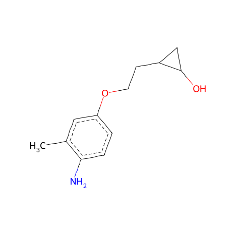 Cc1cc(OCCC2CC2O)ccc1N